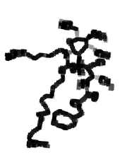 CCCCCCCCCCCCCCCCCCOC(=O)N(CCCCCCCCCCCCCC)[C@@H]1O[C@H](CO)[C@@H](O)[C@H](O)[C@H]1NC(=O)[C@H](C)NC(=O)OCc1ccccc1